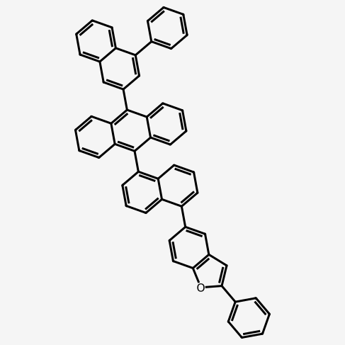 c1ccc(-c2cc3cc(-c4cccc5c(-c6c7ccccc7c(-c7cc(-c8ccccc8)c8ccccc8c7)c7ccccc67)cccc45)ccc3o2)cc1